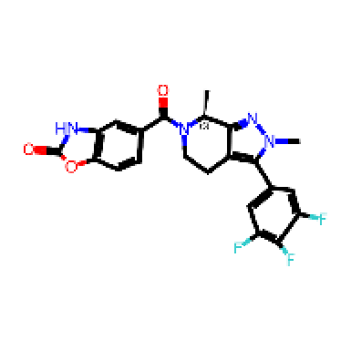 C[C@H]1c2nn(C)c(-c3cc(F)c(F)c(F)c3)c2CCN1C(=O)c1ccc2oc(=O)[nH]c2c1